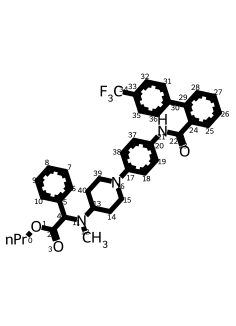 CCCOC(=O)C(c1ccccc1)N(C)C1CCN(c2ccc(NC(=O)c3ccccc3-c3ccc(C(F)(F)F)cc3)cc2)CC1